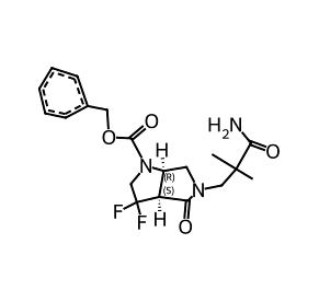 CC(C)(CN1C[C@H]2[C@@H](C1=O)C(F)(F)CN2C(=O)OCc1ccccc1)C(N)=O